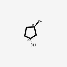 CC(C)[C@@H]1CC[C@@H](O)C1